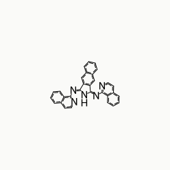 c1ccc2cc3c(cc2c1)/C(=N/c1nccc2ccccc12)N/C3=N/c1nccc2ccccc12